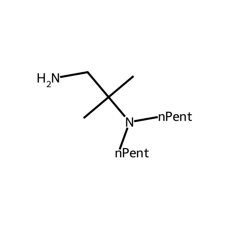 CCCCCN(CCCCC)C(C)(C)CN